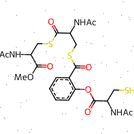 COC(=O)C(CSC(=O)C(CSC(=O)c1ccccc1OC(=O)C(CS)NC(C)=O)NC(C)=O)NC(C)=O